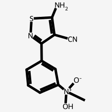 C[N+]([O-])(O)c1cccc(-c2nsc(N)c2C#N)c1